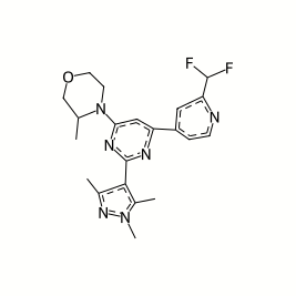 Cc1nn(C)c(C)c1-c1nc(-c2ccnc(C(F)F)c2)cc(N2CCOCC2C)n1